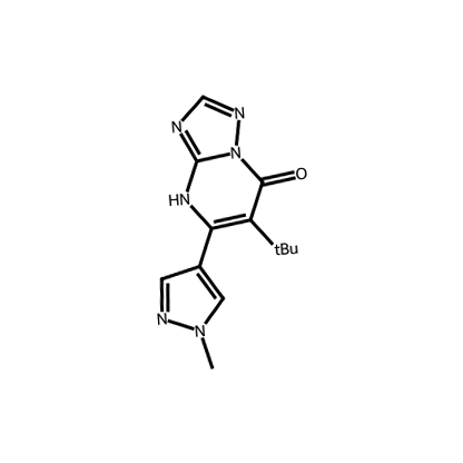 Cn1cc(-c2[nH]c3ncnn3c(=O)c2C(C)(C)C)cn1